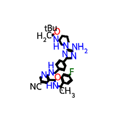 C=C(N[C@@H]1CCCN(c2nc(-c3ccc(CNc4ncc(C#N)cc4C(=O)N[C@@H](C)c4ccc(F)cc4)cc3)cnc2N)C1)OC(C)(C)C